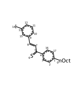 CCCCCCCCc1ccc(C(=S)C=Cc2cccc(I)c2)cc1